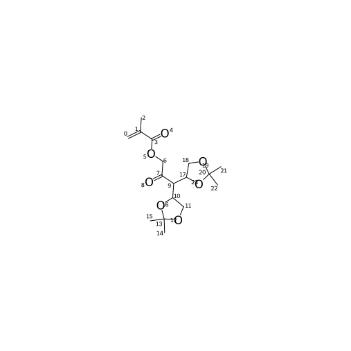 C=C(C)C(=O)OCC(=O)C(C1COC(C)(C)O1)C1COC(C)(C)O1